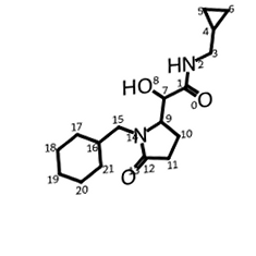 O=C(NCC1CC1)C(O)C1CCC(=O)N1CC1CCCCC1